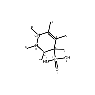 CC1=C(C)C(C)(P(=O)(O)O)N(C)N(C)N1C